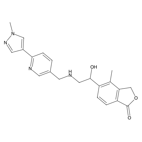 Cc1c(C(O)CNCc2ccc(-c3cnn(C)c3)nc2)ccc2c1COC2=O